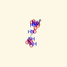 CS(=O)(=O)n1ccc(C(=O)N[C@@H](CCOCCCC(=O)NCCCCCCCCNc2cccc3c2C(=O)N(C2CCC(=O)NC2=O)C3=O)C(=O)Nc2nc(-c3ccccc3)cs2)c1